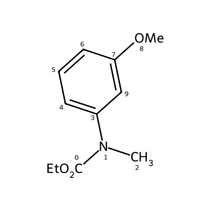 CCOC(=O)N(C)c1cccc(OC)c1